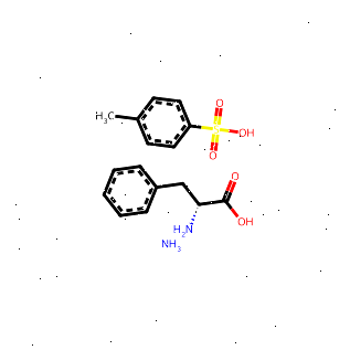 Cc1ccc(S(=O)(=O)O)cc1.N.N[C@H](Cc1ccccc1)C(=O)O